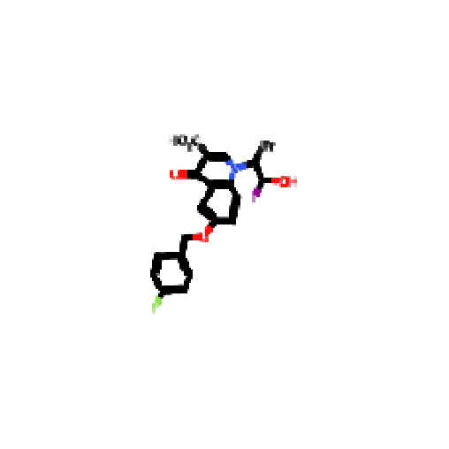 CC(C)C(C(O)I)n1cc(C(=O)O)c(=O)c2cc(OCc3ccc(F)cc3)ccc21